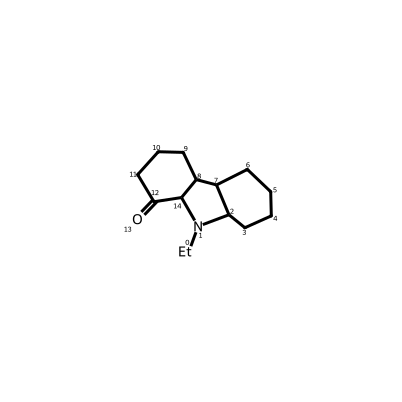 CCN1C2CCCCC2C2CCCC(=O)C21